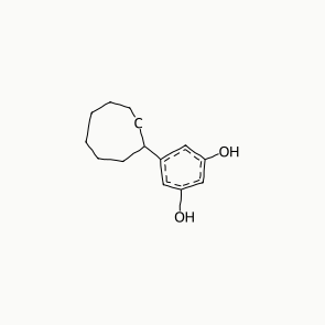 Oc1cc(O)cc(C2CCCCCCC2)c1